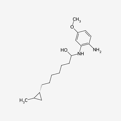 COc1ccc(N)c(NC(O)CCCCCC[C@@H]2CC2C)c1